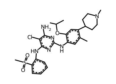 Cc1cc(Nc2nc(N)c(Cl)c(Nc3ccccc3S(C)(=O)=O)n2)c(OC(C)C)cc1C1CCN(C)CC1